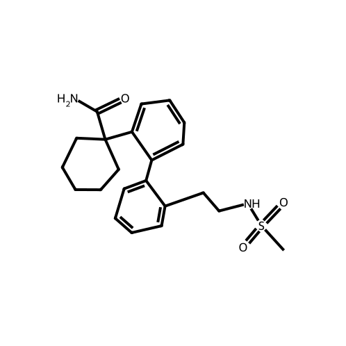 CS(=O)(=O)NCCc1ccccc1-c1ccccc1C1(C(N)=O)CCCCC1